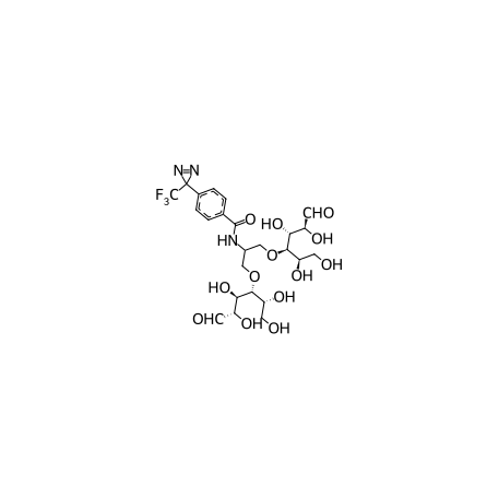 O=C[C@@H](O)[C@@H](O)[C@H](OCC(CO[C@@H]([C@H](O)[C@H](O)C=O)[C@H](O)CO)NC(=O)c1ccc(C2(C(F)(F)F)N=N2)cc1)[C@H](O)CO